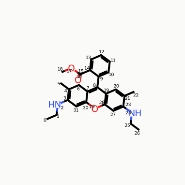 CCNC1=C(C)CC2=C(c3ccccc3C(=O)OC)c3cc(C)c(NCC)cc3OC2=C1